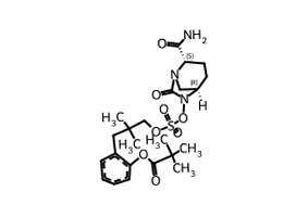 CC(C)(COS(=O)(=O)ON1C(=O)N2C[C@H]1CC[C@H]2C(N)=O)Cc1ccccc1OC(=O)C(C)(C)C